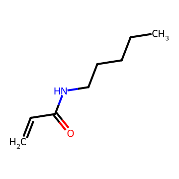 C=CC(=O)NCCCCC